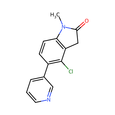 CN1C(=O)Cc2c1ccc(-c1cccnc1)c2Cl